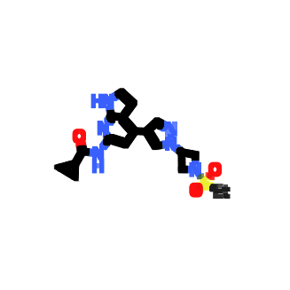 CCS(=O)(=O)N1CC(n2cc(-c3cc(NC(=O)C4CC4)nc4[nH]ccc34)cn2)C1